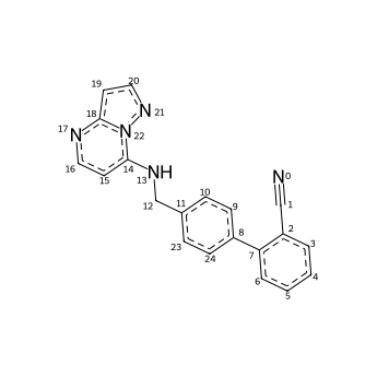 N#Cc1ccccc1-c1ccc(CNc2ccnc3ccnn23)cc1